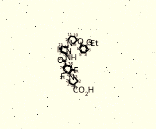 CCOc1ccccc1OC1CCCN(c2cncc(NC(=O)c3cc(F)c(N4CCC(C(=O)O)CC4)c(F)c3)n2)C1